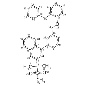 CC(C)(c1cc(-c2cccc(COc3ccccc3Cc3ccccc3)c2)c2ncccc2c1)S(C)(=O)=O